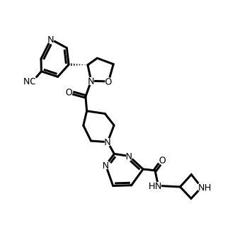 N#Cc1cncc([C@@H]2CCON2C(=O)C2CCN(c3nccc(C(=O)NC4CNC4)n3)CC2)c1